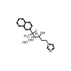 CC(C)(NC(O)CCn1ccnc1)c1ccc2ccccc2c1.Cl.Cl